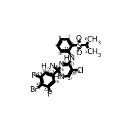 CC(C)S(=O)(=O)c1ccccc1NC1=NC(N)(c2cc(F)c(Br)c(F)c2)NC=C1Cl